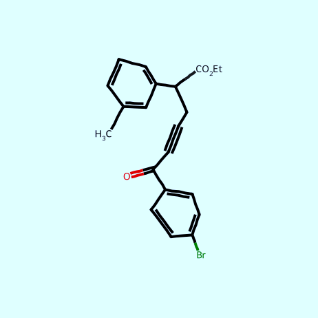 CCOC(=O)C(CC#CC(=O)c1ccc(Br)cc1)c1cccc(C)c1